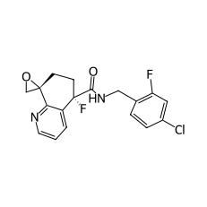 O=C(NCc1ccc(Cl)cc1F)[C@]1(F)CC[C@]2(CO2)c2ncccc21